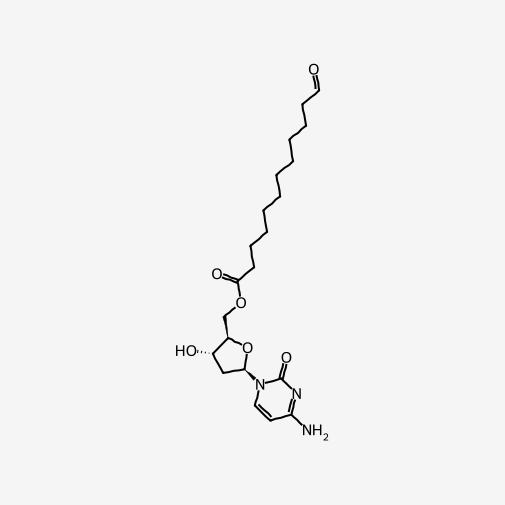 Nc1ccn([C@H]2C[C@H](O)[C@@H](COC(=O)CCCCCCCCCCC=O)O2)c(=O)n1